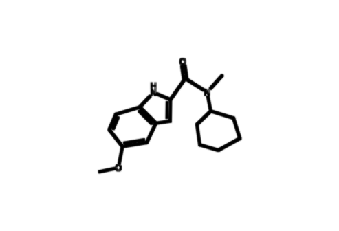 COc1ccc2[nH]c(C(=O)N(C)C3CCCCC3)cc2c1